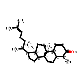 CC(C)=CCCC(C)C1CCC2C3=C(CC[C@@]21C)[C@@]1(C)CCC(=O)C(C)C1CC3